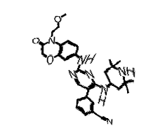 COCCN1C(=O)COc2cc(Nc3ncc(-c4cccc(C#N)c4)c(NC4CC(C)(C)NC(C)(C)C4)n3)ccc21